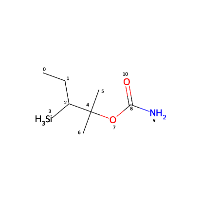 CCC([SiH3])C(C)(C)OC(N)=O